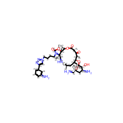 CC[C@H]1OC(=O)[C@H](C)C(=O)[C@@H](C)[C@@H](OC2O[C@H](CN)C[C@H](N)[C@H]2O)[C@](C)(OC)C[C@@H](C)CN[C@H](C)[C@H]2N(CCCCn3cc(-c4cccc(N)c4)nn3)C(=O)O[C@]12C